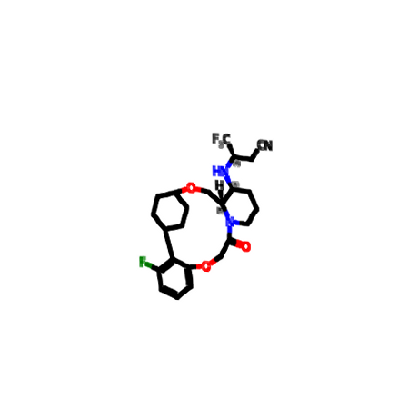 N#CC[C@@H](N[C@H]1CCCN2C(=O)COc3cccc(F)c3C3CCC(CC3)OC[C@H]12)C(F)(F)F